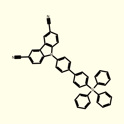 N#Cc1ccc2c(c1)c1cc(C#N)ccc1n2-c1ccc(-c2ccc([Si](c3ccccc3)(c3ccccc3)c3ccccc3)cc2)cc1